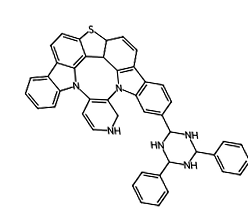 C1=CC2=C(CN1)n1c3c(c4ccc(C5NC(c6ccccc6)NC(c6ccccc6)N5)cc41)C=CC1Sc4ccc5c6ccccc6n2c5c4C31